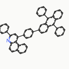 c1ccc(-c2cc(-c3ccc(-c4ccc5c(-c6ccccc6)c6ccccc6c(-c6ccccc6)c5c4)cc3)c3c(ccc4ccccc43)n2)cc1